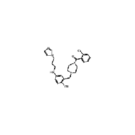 N#Cc1ccc(NCCCn2ccnc2)cc1CN1CCN(C(=O)c2ccccc2Cl)CC1